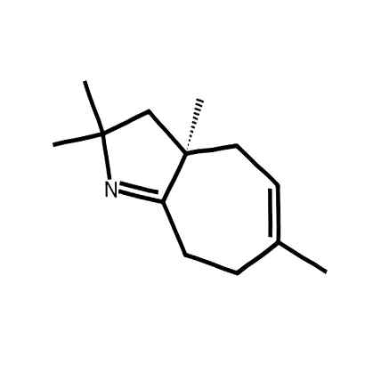 CC1=CC[C@]2(C)CC(C)(C)N=C2CC1